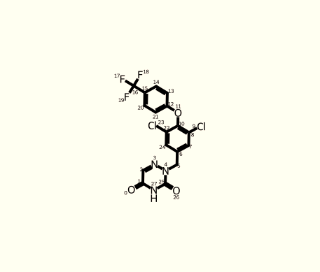 O=c1cnn(Cc2cc(Cl)c(Oc3ccc(C(F)(F)F)cc3)c(Cl)c2)c(=O)[nH]1